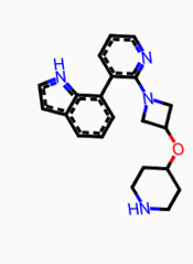 c1cnc(N2CC(OC3CCNCC3)C2)c(-c2cccc3cc[nH]c23)c1